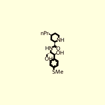 CCC[C@H]1CCN[C@@H](C(=O)N[C@@H](CO)[C@@H](O)c2ccc(SC)cc2)C1